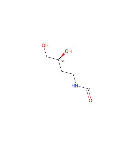 O=[C]NCC[C@H](O)CO